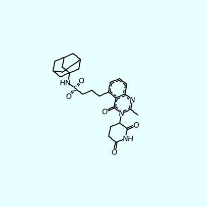 Cc1nc2cccc(CCCS(=O)(=O)NC34CC5CC(CC(C5)C3)C4)c2c(=O)n1C1CCC(=O)NC1=O